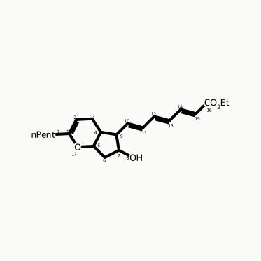 CCCCCC1=CCC2C(CC(O)C2C=CC=CC=CC(=O)OCC)O1